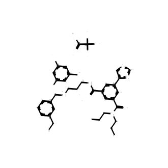 CCCN(CCC)C(=O)c1cc(C(=O)N[C@@H](Cc2cc(F)cc(F)c2)[C@H](O)CNCc2cccc(CC)c2)cc(-c2c[nH]cn2)c1.O=C(O)C(F)(F)F